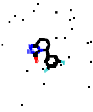 O=c1[nH]nc2n1C(c1cc(F)cc(F)c1)CCC2